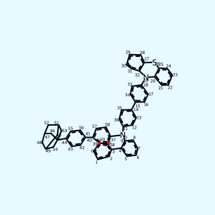 c1ccc(-c2ccccc2N(c2ccc(-c3ccc(N4c5ccccc5Sc5ccccc54)cc3)cc2)c2ccc(-c3ccc(C45CC6CC(CC(C6)C4)C5)cc3)cc2)cc1